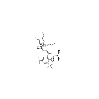 CCC[CH2][Sn]([CH2]CCC)([CH2]CCC)[C](F)=CC=C(C)c1cc(C(C)(C)C)cc(C(C)(C)C)c1OCC(F)F